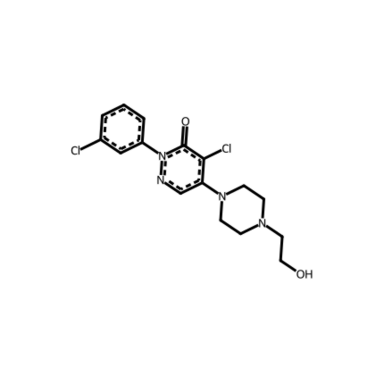 O=c1c(Cl)c(N2CCN(CCO)CC2)cnn1-c1cccc(Cl)c1